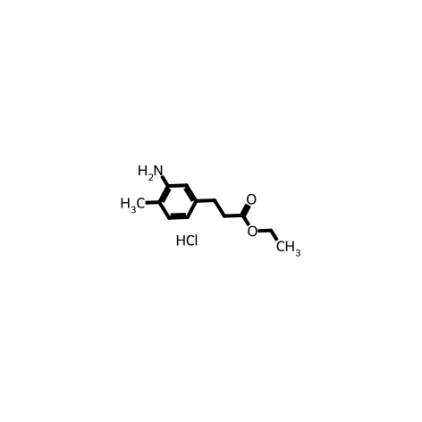 CCOC(=O)CCc1ccc(C)c(N)c1.Cl